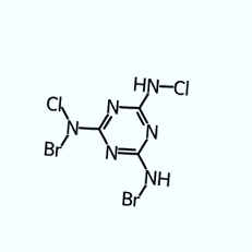 ClNc1nc(NBr)nc(N(Cl)Br)n1